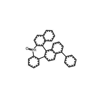 O=[PH]1c2ccccc2-c2ccc3c(-c4ccccc4)cccc3c2-c2c1ccc1ccccc21